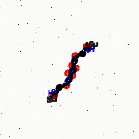 CC(C)(C)OC(=O)NCc1cccc(CCC(=O)N2CCN(C(=O)CN3CCC(=O)N(CC(=O)N4CCN(C(=O)CCc5cccc(CNC(=O)OC(C)(C)C)c5)CC4)CCC3=O)CC2)c1